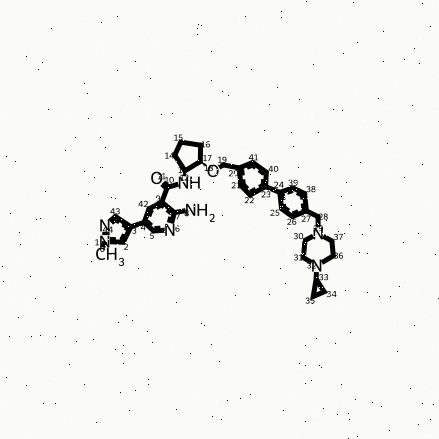 Cn1cc(-c2cnc(N)c(C(=O)N[C@H]3CCC[C@@H]3OCc3ccc(-c4ccc(CN5CCN(C6CC6)CC5)cc4)cc3)c2)cn1